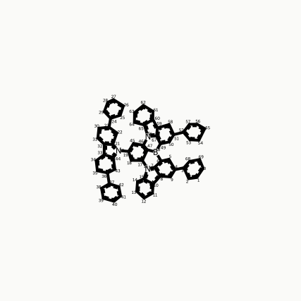 c1ccc(-c2cc3c4c(c2)c2ccccc2n4-c2cc(-n4c5cc(-c6ccccc6)ccc5c5ccc(-c6ccccc6)cc54)cc4c2B3c2cc(-c3ccccc3)cc3c5ccccc5n-4c23)cc1